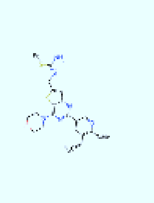 C=Cc1cc(-c2nc(N3CCOCC3)c3sc(C/N=C(/N)SCC)cc3n2)cnc1NC